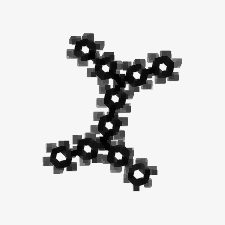 C1=CCC(c2ccc(N(c3ccc(C4=CCCC=C4)cc3)c3ccc(-c4ccc(N(c5ccc(-c6ccccc6)cc5)c5ccc(-c6ccccc6)cc5)cc4)cc3)cc2)C=C1